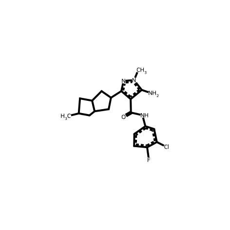 CC1CC2CC(c3nn(C)c(N)c3C(=O)Nc3ccc(F)c(Cl)c3)CC2C1